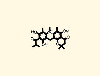 COc1c(C)c(O)c(C(=O)C(C)C)c(O)c1Cc1c(O)c(C)c(O)c2c1OC(C)(C)CC2=O